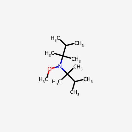 CON(C(C)(C)C(C)C)C(C)(C)C(C)C